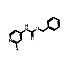 O=C(Nc1ccnc(Br)c1)OCc1ccccc1